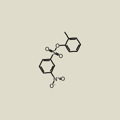 Cc1ccccc1OS(=O)(=O)c1cccc([N+](=O)[O-])c1